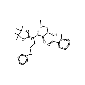 COCC(NC(=O)c1cccnc1C)C(=O)N[C@@H](CCOc1ccccc1)B1OC(C)(C)C(C)(C)O1